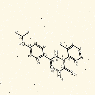 Cc1cccnc1N(NC(=O)c1ccc(OC(C)C)cn1)C(N)=S